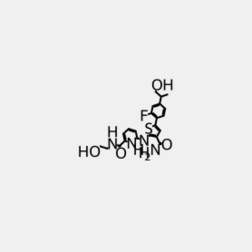 CC(CO)c1ccc(-c2cc(C(N)=O)c(Nc3cccc(C(=O)NCCO)n3)s2)c(F)c1